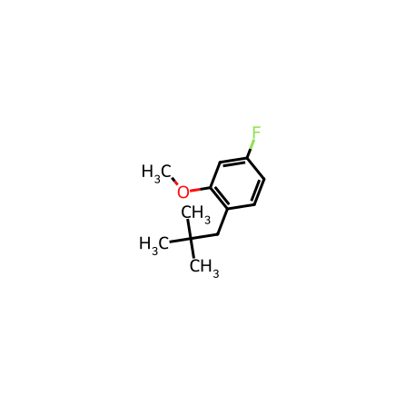 COc1cc(F)ccc1CC(C)(C)C